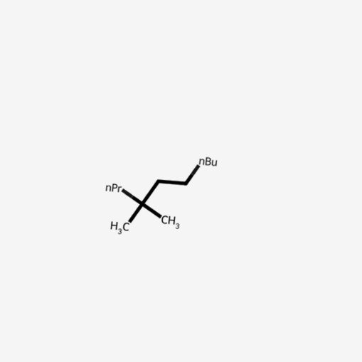 [CH2]CCCCCC(C)(C)CCC